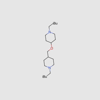 CCC(C)CN1CCC(COC2CCN(CC(C)CC)CC2)CC1